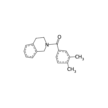 Cc1ccc(C(=O)N2CCc3ccccc3C2)cc1C